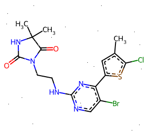 Cc1cc(-c2nc(NCCN3C(=O)NC(C)(C)C3=O)ncc2Br)sc1Cl